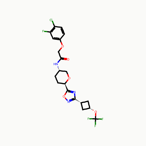 O=C(COc1ccc(Cl)c(F)c1)N[C@H]1CC[C@H](c2nc([C@H]3C[C@@H](OC(F)(F)F)C3)no2)OC1